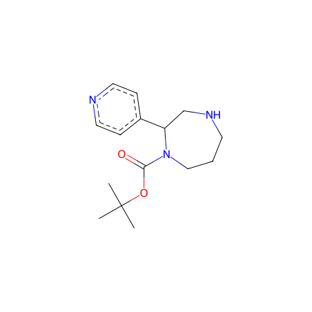 CC(C)(C)OC(=O)N1CCCNCC1c1ccncc1